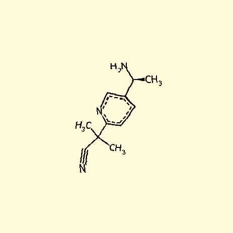 C[C@H](N)c1ccc(C(C)(C)C#N)nc1